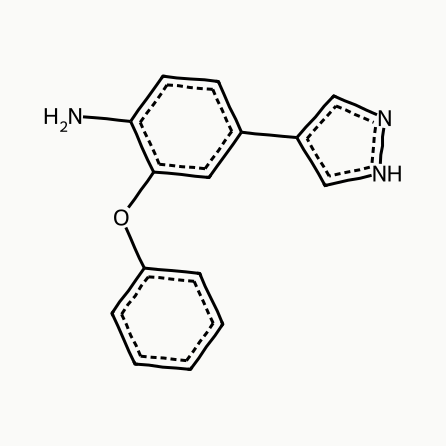 Nc1ccc(-c2cn[nH]c2)cc1Oc1ccccc1